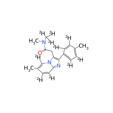 [2H]c1c([2H])c(-c2nc3c([2H])c([2H])c(C)c([2H])n3c2CC(=O)N(C)C([2H])([2H])[2H])c([2H])c([2H])c1C